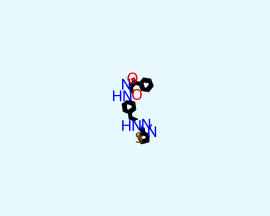 O=C(Nc1ccc(CCNc2ncnc3ccsc23)cc1)c1ncoc1-c1ccccc1